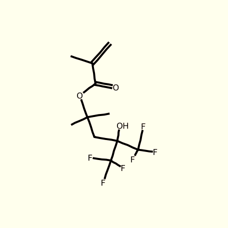 C=C(C)C(=O)OC(C)(C)CC(O)(C(F)(F)F)C(F)(F)F